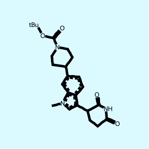 Cn1cc(C2CCC(=O)NC2=O)c2ccc(C3CCN(C(=O)OC(C)(C)C)CC3)cc21